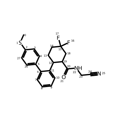 CSc1ccc(-c2ccccc2C2CCC(F)(F)CC2C(=O)NCC#N)cc1